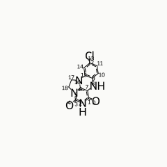 O=c1[nH]c(=O)n2c3c1Nc1ccc(Cl)cc1N3CC2